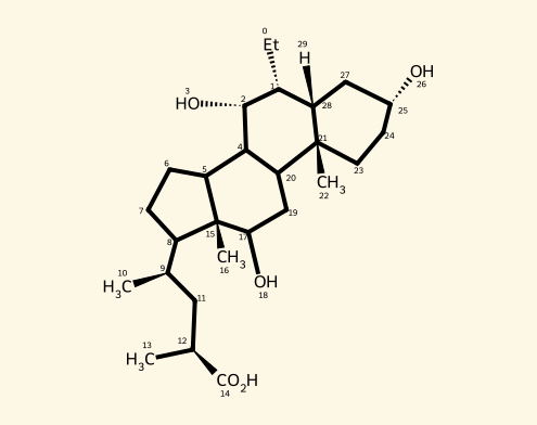 CC[C@H]1[C@@H](O)C2C3CCC([C@H](C)C[C@H](C)C(=O)O)[C@@]3(C)C(O)CC2[C@@]2(C)CC[C@@H](O)C[C@@H]12